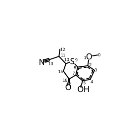 COc1ccc(O)c2c1SC(C(C)C#N)CC2=O